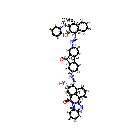 CON(c1ccccc1)c1cc2ccccc2c(N=Nc2ccc3c(c2)C(=O)c2cc(N=Nc4c(O)cc5c(=O)n6c7ccccc7nc6c6cccc4c56)ccc2-3)c1O